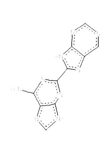 Nc1nc(-c2nc3cncnc3[nH]2)nc2[nH]cnc12